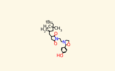 C=C(CC1CC(=O)N(CCN2CCOC2c2ccc(O)cc2)C1=O)CC(C)(C)CC(C)(C)C